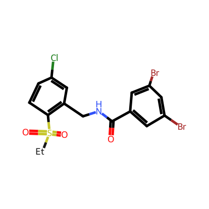 CCS(=O)(=O)c1ccc(Cl)cc1CNC(=O)c1cc(Br)cc(Br)c1